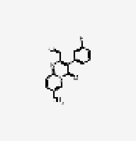 Cc1ccc2nc(C=O)c(-c3cccc(F)c3)c(=O)n2c1